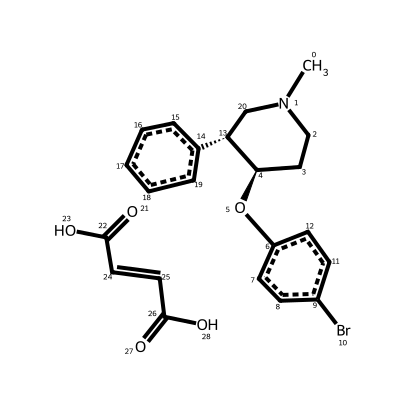 CN1CC[C@@H](Oc2ccc(Br)cc2)[C@H](c2ccccc2)C1.O=C(O)C=CC(=O)O